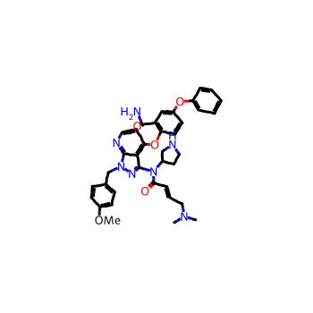 COc1ccc(Cn2nc(N(C(=O)/C=C/CN(C)C)C3CCNC3)c3c(Oc4ccc(Oc5ccccc5)cc4C(N)=O)ccnc32)cc1